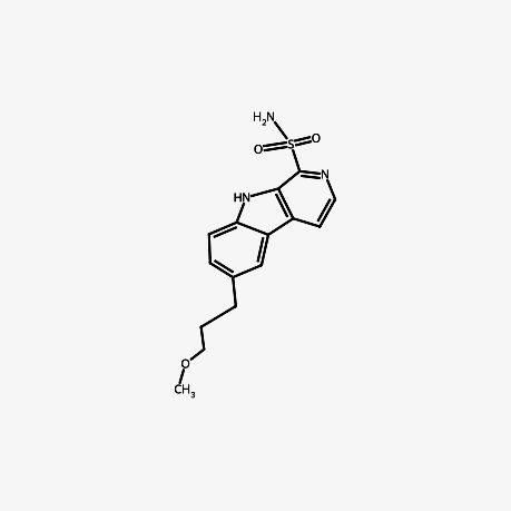 COCCCc1ccc2[nH]c3c(S(N)(=O)=O)nccc3c2c1